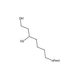 CCCCCCCCCC(S)CCO